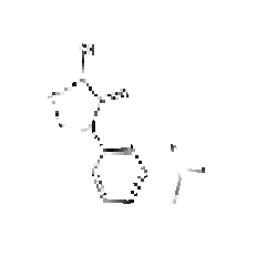 O=C1C(O)SCN1c1cccc(C(F)(F)F)n1